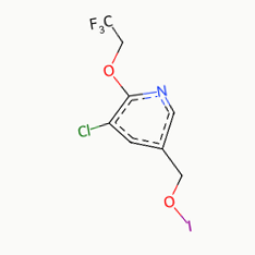 FC(F)(F)COc1ncc(COI)cc1Cl